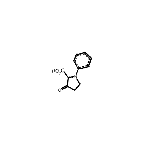 O=C(O)C1C(=O)CCN1c1[c]cccc1